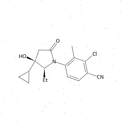 CC[C@@H]1N(c2ccc(C#N)c(Cl)c2C)C(=O)C[C@@]1(O)C1CC1